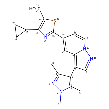 Cc1nn(C)c(C)c1-c1cnn2ccc(-c3nc(C4CC4)c(C(=O)O)s3)cc12